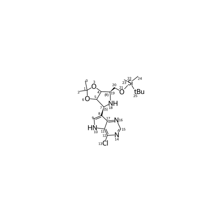 CC1(C)OC2C(O1)[C@H](c1c[nH]c3c(Cl)ncnc13)N[C@@H]2CO[Si](C)(C)C(C)(C)C